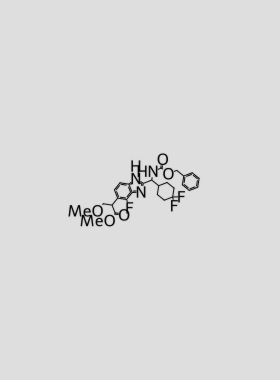 COCC(C(=O)OC)c1ccc2[nH]c(C(NC(=O)OCc3ccccc3)C3CCC(F)(F)CC3)nc2c1F